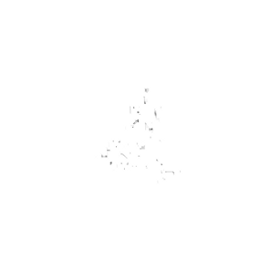 COP(=O)(/C=C/C1CN(C(=O)C(F)(F)F)CCC(n2ccc(=O)[nH]c2=O)O1)OC